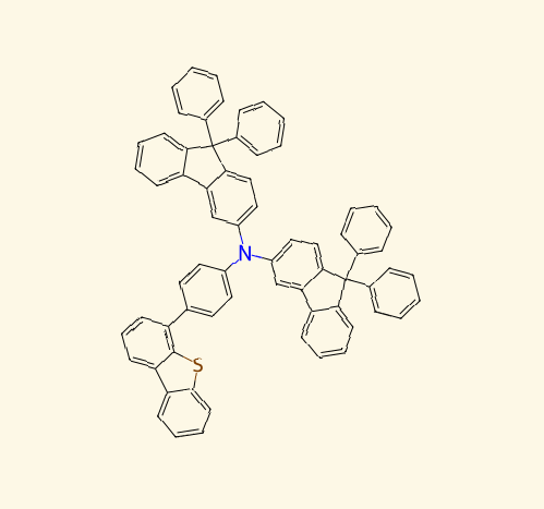 c1ccc(C2(c3ccccc3)c3ccccc3-c3cc(N(c4ccc(-c5cccc6c5sc5ccccc56)cc4)c4ccc5c(c4)-c4ccccc4C5(c4ccccc4)c4ccccc4)ccc32)cc1